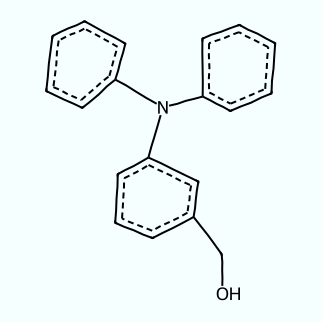 OCc1cccc(N(c2ccccc2)c2ccccc2)c1